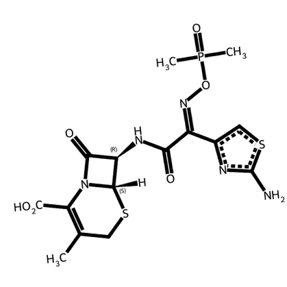 CC1=C(C(=O)O)N2C(=O)[C@@H](NC(=O)C(=NOP(C)(C)=O)c3csc(N)n3)[C@@H]2SC1